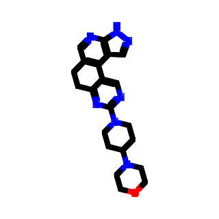 c1nc2[nH]ncc2c2c1CCc1nc(N3CCC(N4CCOCC4)CC3)ncc1-2